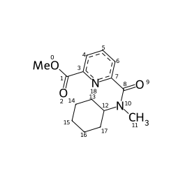 COC(=O)c1cccc(C(=O)N(C)C2CCCCC2)n1